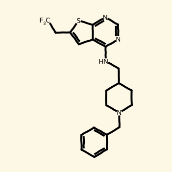 FC(F)(F)Cc1cc2c(NCC3CCN(Cc4ccccc4)CC3)ncnc2s1